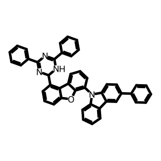 c1ccc(C2=NC(c3cccc4oc5c(-n6c7ccccc7c7cc(-c8ccccc8)ccc76)cccc5c34)NC(c3ccccc3)=N2)cc1